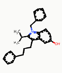 CC(C)c1c(CCCc2ccccc2)c2cc(O)ccc2n1Cc1ccccc1